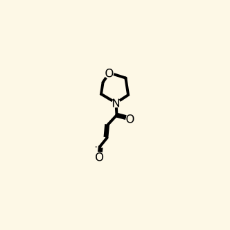 O=[C]C=CC(=O)N1CCOCC1